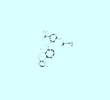 CNC(=O)c1cnc(NC(=O)C2CC2)cc1Nc1cccc2c1N(C)Cc1ncnn1-2